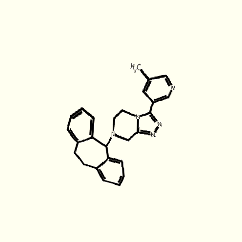 Cc1cncc(-c2nnc3n2CCN(C2c4ccccc4CCc4ccccc42)C3)c1